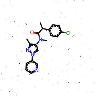 Cc1nn(-c2cccnc2)cc1N(C)C(=O)C(C)c1ccc(Cl)cc1